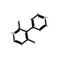 [CH2]c1ccnc(C)c1-c1ccncc1